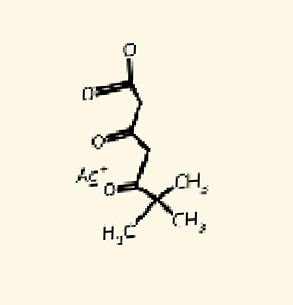 CC(C)(C)C(=O)CC(=O)CC(=O)[O-].[Ag+]